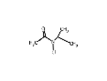 CC(=O)N(Cl)C(C)C